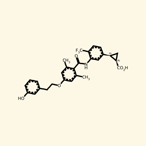 Cc1cc(OCCc2cccc(O)c2)cc(C)c1C(=O)Nc1cc([C@H]2C[C@H]2C(=O)O)ccc1C(F)(F)F